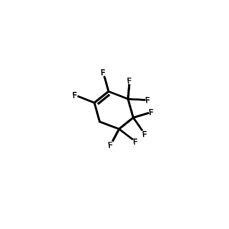 FC1=C(F)C(F)(F)C(F)(F)C(F)(F)C1